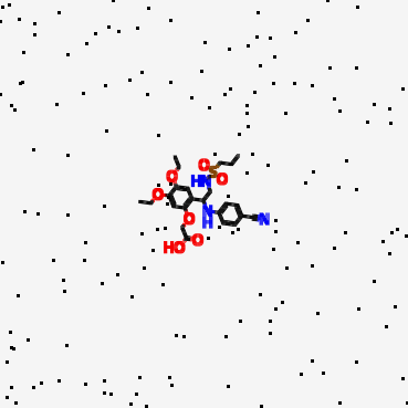 CCCS(=O)(=O)NCC(Nc1ccc(C#N)cc1)c1cc(OCC)c(OCC)cc1OCC(=O)O